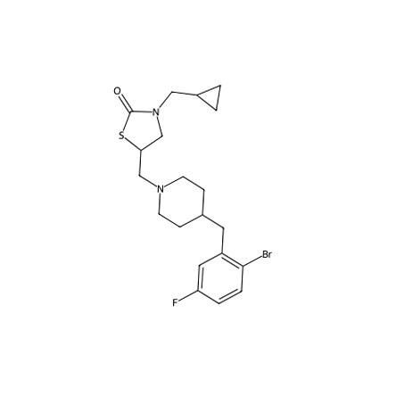 O=C1SC(CN2CCC(Cc3cc(F)ccc3Br)CC2)CN1CC1CC1